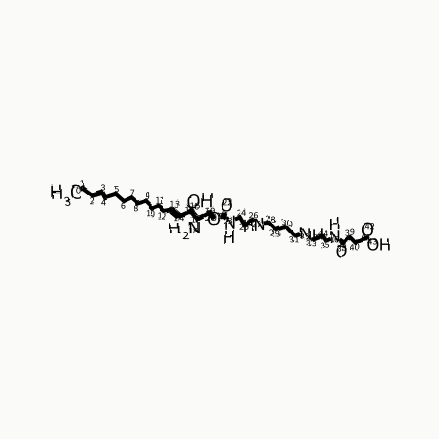 CCCCCCCCCCCCC/C=C/[C@@H](O)[C@@H](N)COC(=O)NCCCNCCCCNCCCNC(=O)CCC(=O)O